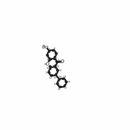 O=c1c2ccc(Br)cc2oc2ccc(-c3ccccc3)cc12